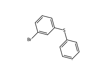 Brc1cccc(Sc2cc[c]cc2)c1